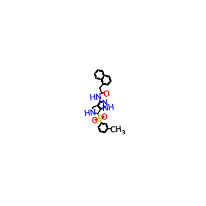 Cc1cccc(S(=O)(=O)C2NCc3c(NC(=O)Cc4cccc5ccccc45)n[nH]c32)c1